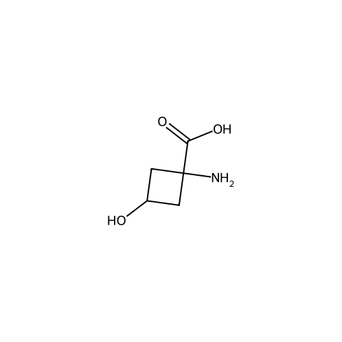 NC1(C(=O)O)CC(O)C1